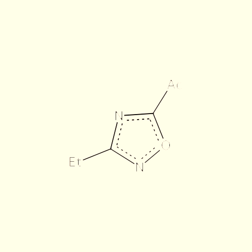 CCc1noc(C(C)=O)n1